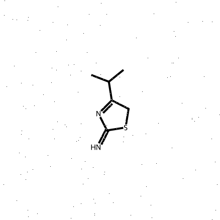 CC(C)C1=NC(=N)SC1